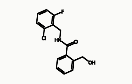 O=C(NCc1c(F)cccc1Cl)c1ccccc1CO